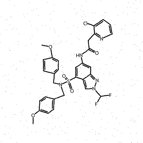 COc1ccc(CN(Cc2ccc(OC)cc2)S(=O)(=O)c2cc(NC(=O)Cc3ncccc3Cl)cc3nn(C(F)F)cc23)cc1